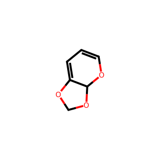 C1=COC2OCOC2=C1